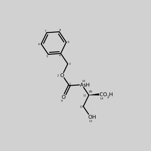 O=C(OCc1ccccc1)[AsH][C@H](CO)C(=O)O